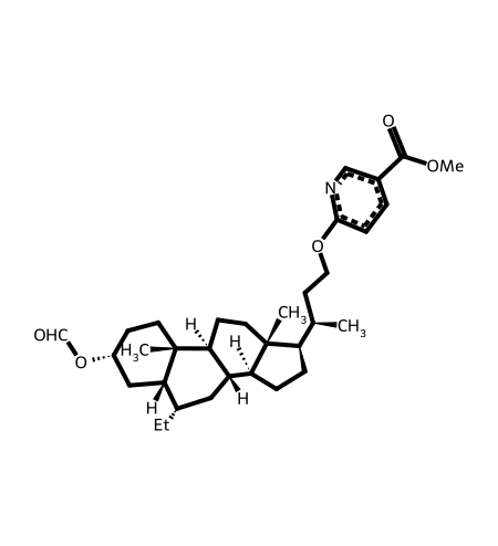 CC[C@H]1C[C@@H]2[C@H](CC[C@]3(C)[C@@H]([C@H](C)CCOc4ccc(C(=O)OC)cn4)CC[C@@H]23)[C@@]2(C)CC[C@@H](OC=O)C[C@@H]12